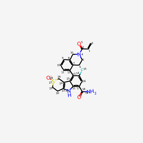 C=CC(=O)N1CCc2c(cccc2-c2c(F)cc(C(N)=O)c3[nH]c4c(c23)C[S+]([O-])CC4)C1